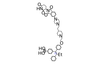 CC/C(=C(\c1ccc(OCCN2CCC(CCN3CCN(c4ccc5c(c4)C(=O)N(C4CCC(=O)NC4=O)C5=O)CC3)CC2)cc1)c1ccc(B(O)O)cc1)c1ccccc1